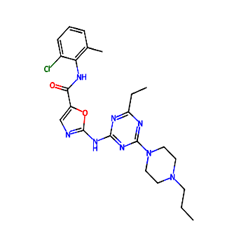 CCCN1CCN(c2nc(CC)nc(Nc3ncc(C(=O)Nc4c(C)cccc4Cl)o3)n2)CC1